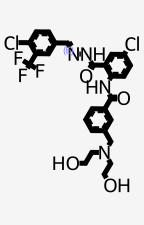 O=C(Nc1ccc(Cl)cc1C(=O)N/N=C/c1ccc(Cl)c(C(F)(F)F)c1)c1cccc(CN(CCO)CCO)c1